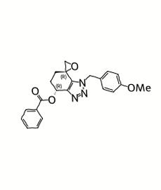 COc1ccc(Cn2nnc3c2[C@]2(CC[C@H]3OC(=O)c3ccccc3)CO2)cc1